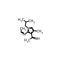 C/C=N\c1c(C(C)=N)c(C)cn1CC(C)C